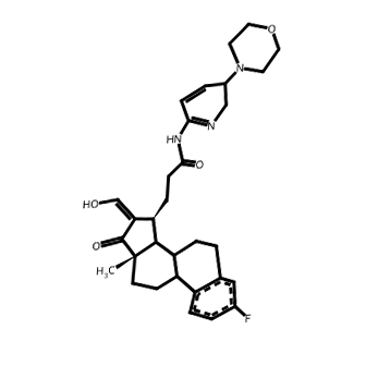 C[C@]12CCC3c4ccc(F)cc4CCC3C1[C@H](CCC(=O)NC1=NCC(N3CCOCC3)C=C1)/C(=C/O)C2=O